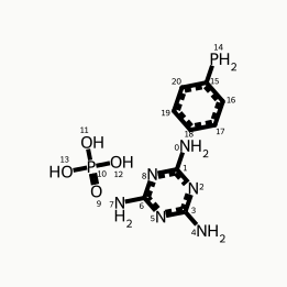 Nc1nc(N)nc(N)n1.O=P(O)(O)O.Pc1ccccc1